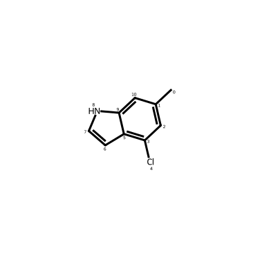 Cc1cc(Cl)c2cc[nH]c2c1